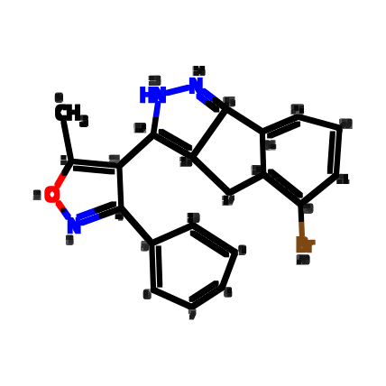 Cc1onc(-c2ccccc2)c1-c1[nH]nc2c1Cc1c(Br)cccc1-2